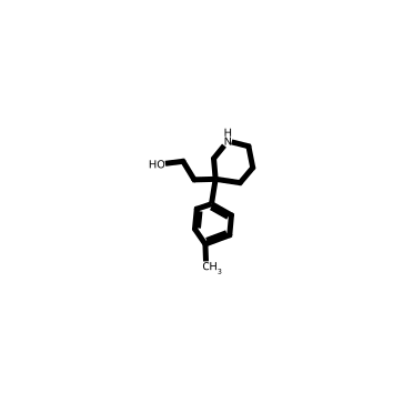 Cc1ccc(C2(CCO)CCCNC2)cc1